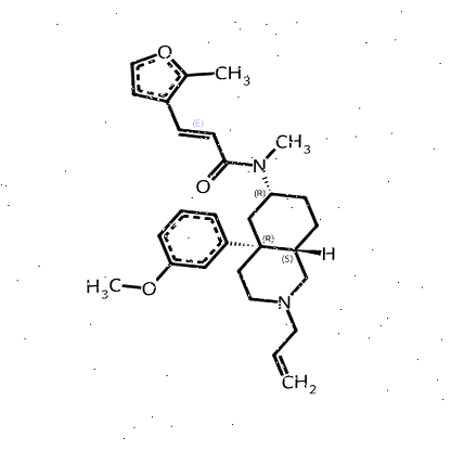 C=CCN1CC[C@@]2(c3cccc(OC)c3)C[C@H](N(C)C(=O)/C=C/c3ccoc3C)CC[C@@H]2C1